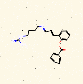 [H]/N=C(\N)NCCC[C@H](/N=C/C=C/c1ccccc1OC(=O)c1ccccc1)C(=O)O